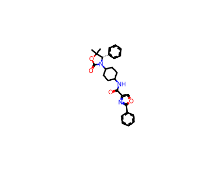 CC1(C)OC(=O)N(C2CCC(NC(=O)c3coc(-c4ccccc4)n3)CC2)[C@H]1c1ccccc1